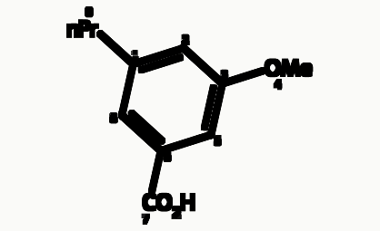 CCCc1cc(OC)cc(C(=O)O)c1